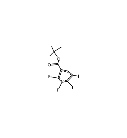 CC(C)(C)OC(=O)c1cc(I)c(F)c(F)c1F